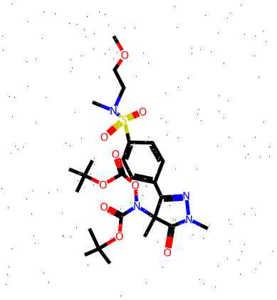 COCCN(C)S(=O)(=O)c1ccc(C2=NN(C)C(=O)C2(C)N(OC(=O)OC(C)(C)C)C(=O)OC(C)(C)C)cc1